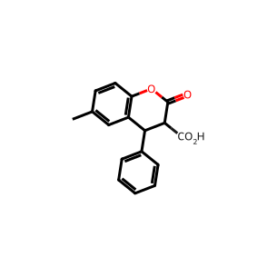 Cc1ccc2c(c1)C(c1ccccc1)C(C(=O)O)C(=O)O2